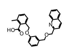 Cc1cccc(COc2cccc(COCc3ccc4ccccc4n3)c2)c1C(=O)O